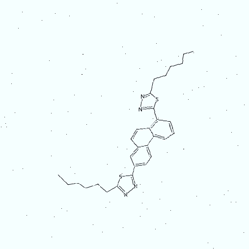 CCCCCCc1nnc(-c2ccc3c(ccc4c(-c5nnc(CCCCCC)s5)cccc43)c2)s1